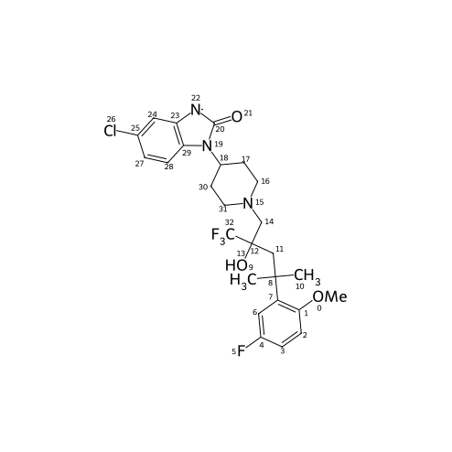 COc1ccc(F)cc1C(C)(C)CC(O)(CN1CCC(N2C(=O)[N]c3cc(Cl)ccc32)CC1)C(F)(F)F